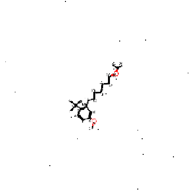 COc1ccc(C(C)(C)C)c(CC/C=C/CCCOC(C)C)c1